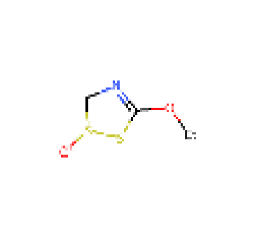 CCOC1=NC[S+]([O-])S1